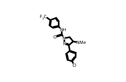 CNC1CN(C(=O)Nc2ccc(C(F)(F)F)cc2)N=C1c1ccc(Cl)cc1